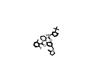 C=C1CCCN1Cc1ccc([C@H]2[C@@H](C(=O)Nc3cccc(C(C)(C)C)c3)CCCN2C(=O)c2c(C)cccc2F)cc1